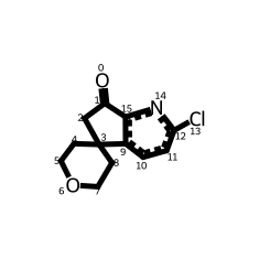 O=C1CC2(CCOCC2)c2ccc(Cl)nc21